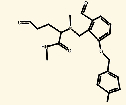 CNC(=O)C(CCC=O)N(C)Cc1c(C=O)cccc1OCc1ccc(F)cc1